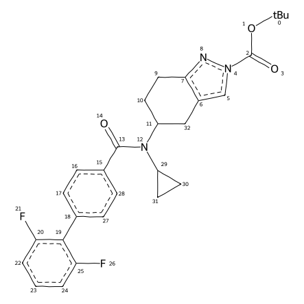 CC(C)(C)OC(=O)n1cc2c(n1)CCC(N(C(=O)c1ccc(-c3c(F)cccc3F)cc1)C1CC1)C2